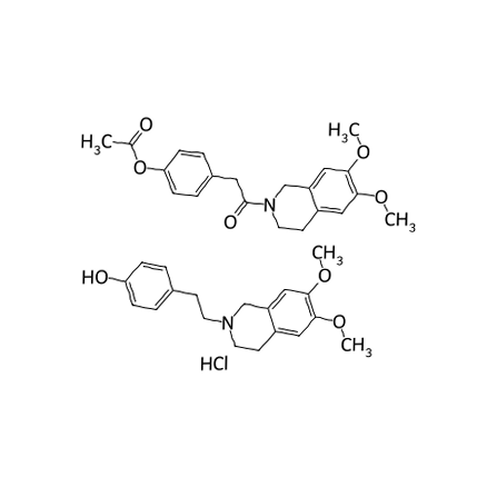 COc1cc2c(cc1OC)CN(C(=O)Cc1ccc(OC(C)=O)cc1)CC2.COc1cc2c(cc1OC)CN(CCc1ccc(O)cc1)CC2.Cl